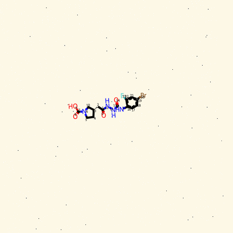 O=C(C[C@@H]1CCN(C(=O)O)C1)NNC(=O)Nc1ccc(Br)cc1F